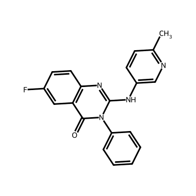 Cc1ccc(Nc2nc3ccc(F)cc3c(=O)n2-c2ccccc2)cn1